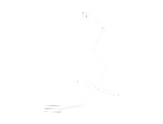 C#CCS(=O)(=O)CCCC#N